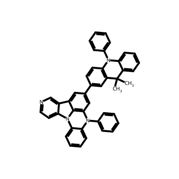 CC1(C)c2ccccc2N(c2ccccc2)c2ccc(-c3cc4c5c(c3)c3cnccc3n5-c3ccccc3N4c3ccccc3)cc21